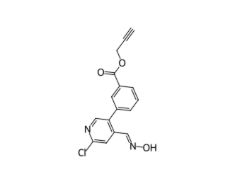 C#CCOC(=O)c1cccc(-c2cnc(Cl)cc2C=NO)c1